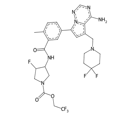 Cc1ccc(-c2cc(CN3CCC(F)(F)CC3)c3c(N)ncnn23)cc1C(=O)NC1CN(C(=O)OCC(F)(F)F)CC1F